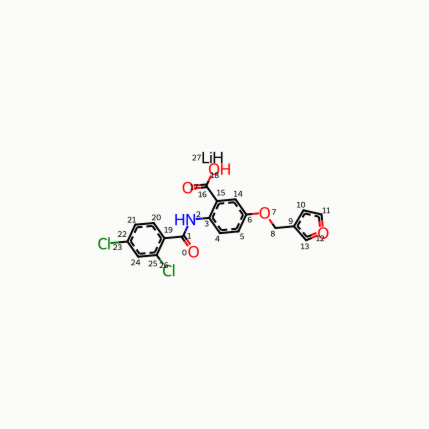 O=C(Nc1ccc(OCc2ccoc2)cc1C(=O)O)c1ccc(Cl)cc1Cl.[LiH]